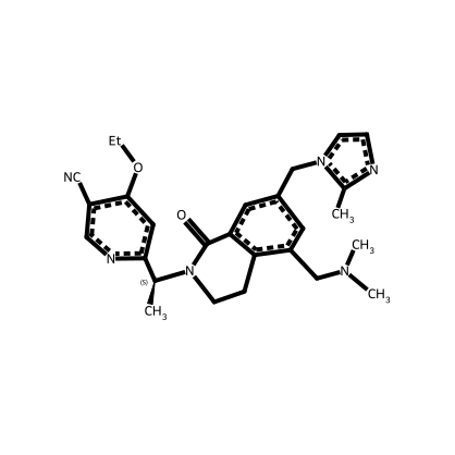 CCOc1cc([C@H](C)N2CCc3c(CN(C)C)cc(Cn4ccnc4C)cc3C2=O)ncc1C#N